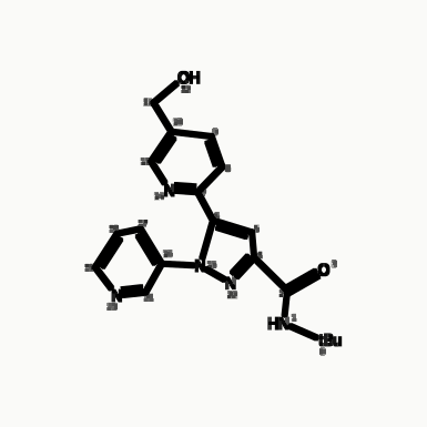 CC(C)(C)NC(=O)c1cc(-c2ccc(CO)cn2)n(-c2cccnc2)n1